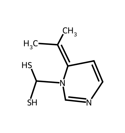 CC(C)=C1C=CN=CN1C(S)S